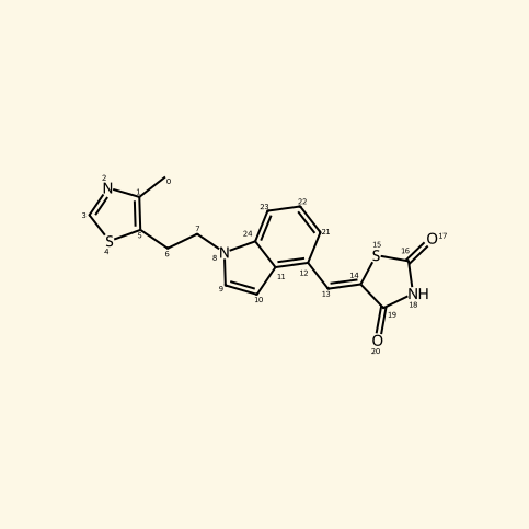 Cc1ncsc1CCn1ccc2c(C=C3SC(=O)NC3=O)cccc21